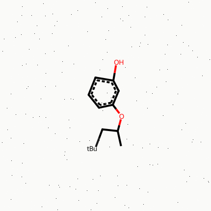 CC(CC(C)(C)C)Oc1cccc(O)c1